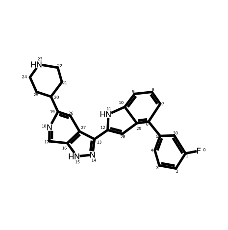 Fc1cccc(-c2cccc3[nH]c(-c4n[nH]c5cnc(C6CCNCC6)cc45)cc23)c1